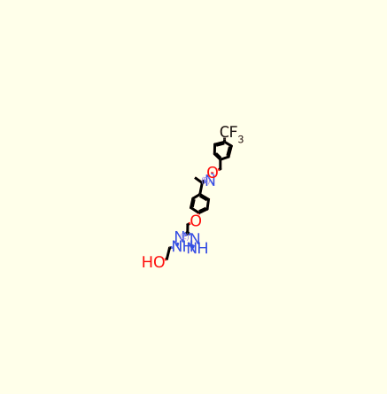 C/C(=N\OCc1ccc(C(F)(F)F)cc1)c1ccc(OC/C(N=N)=N/NCCO)cc1